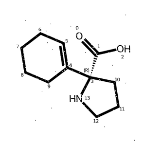 O=C(O)[C@]1(C2=CCCCC2)CCCN1